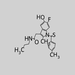 CCCNC(=O)Cc1c(C)n(C(=S)c2ccc(C)cc2)c2cc(F)c(O)cc12